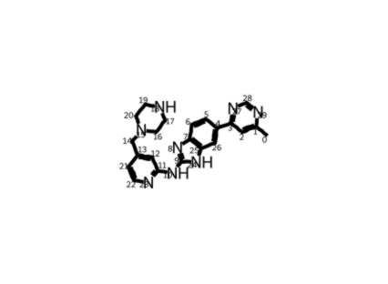 Cc1cc(-c2ccc3nc(Nc4cc(CN5CCNCC5)ccn4)[nH]c3c2)ncn1